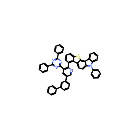 c1ccc(-c2cccc(-c3cnc(-c4cccc5sc6c(ccc7c6c6ccccc6n7-c6ccccc6)c45)c(-c4nc(-c5ccccc5)nc(-c5ccccc5)n4)c3)c2)cc1